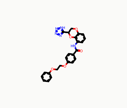 O=C(Nc1cccc2c1OC(c1nnn[nH]1)CO2)c1ccc(OCCOc2ccccc2)cc1